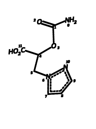 NC(=O)OC(Cn1cccn1)C(=O)O